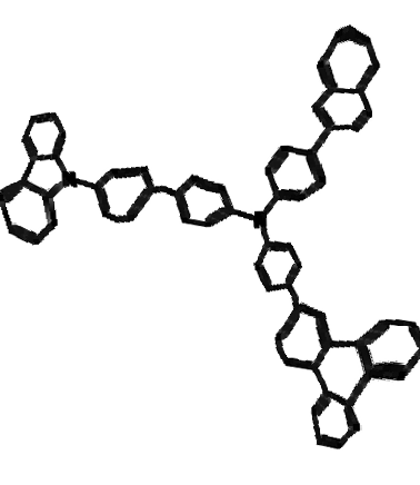 c1ccc2cc(-c3ccc(N(c4ccc(-c5ccc(-n6c7ccccc7c7ccccc76)cc5)cc4)c4ccc(-c5ccc6c7ccccc7c7ccccc7c6c5)cc4)cc3)ccc2c1